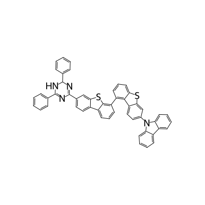 c1ccc(C2=NC(c3ccc4c(c3)sc3c(-c5cccc6sc7cc(-n8c9ccccc9c9ccccc98)ccc7c56)cccc34)=NC(c3ccccc3)N2)cc1